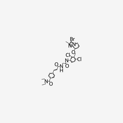 CCN(CC)C(=O)c1ccc(C=CC(=O)NCC(=O)N(C)c2ccc(Cl)c(COc3cccn4c(Br)c(C)nc34)c2Cl)cc1